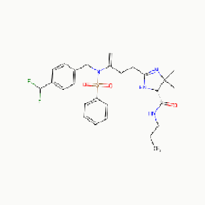 C=C(CCC1=NC(C)(C)[C@H](C(=O)NCCC(F)(F)F)N1)N(Cc1ccc(C(F)F)cc1)S(=O)(=O)c1ccccc1